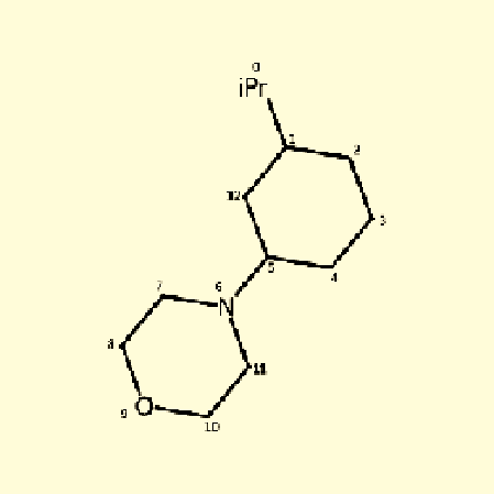 CC(C)C1CCCC(N2CCOCC2)C1